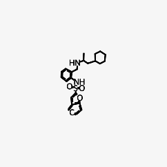 CC(CC1CCCCC1)NCc1ccccc1NS(=O)(=O)c1cc2ccccc2o1